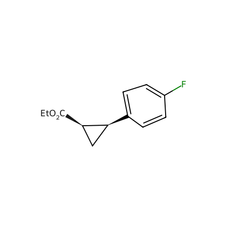 CCOC(=O)[C@@H]1C[C@@H]1c1ccc(F)cc1